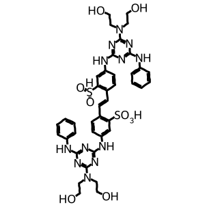 O=[SH](=O)c1cc(Nc2nc(Nc3ccccc3)nc(N(CCO)CCO)n2)ccc1/C=C/c1ccc(Nc2nc(Nc3ccccc3)nc(N(CCO)CCO)n2)cc1S(=O)(=O)O